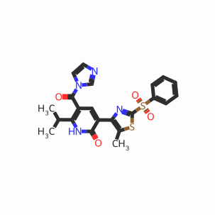 Cc1sc(S(=O)(=O)c2ccccc2)nc1-c1cc(C(=O)n2ccnc2)c(C(C)C)[nH]c1=O